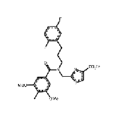 CCOC(=O)c1csc(CN(CCCc2cc(F)ccc2F)C(=O)c2cc(OC)c(C)c(OC)c2)n1